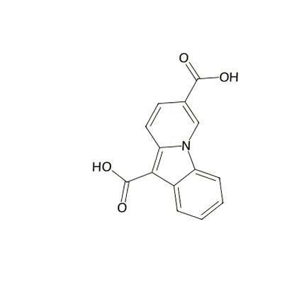 O=C(O)c1ccc2c(C(=O)O)c3ccccc3n2c1